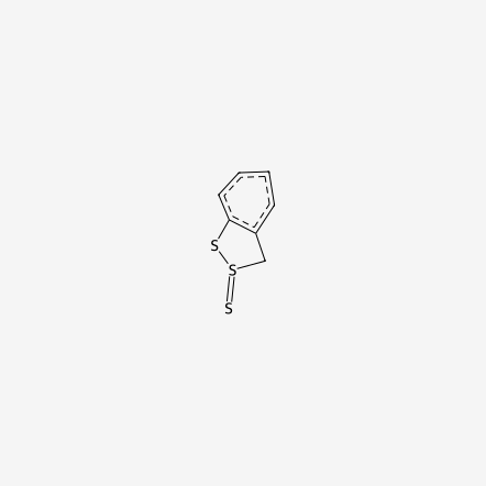 S=S1Cc2ccccc2S1